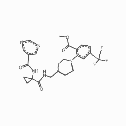 COC(=O)c1ccc(C(F)(F)F)cc1N1CCC(CNC(=O)C2(NC(=O)c3cncnc3)CC2)CC1